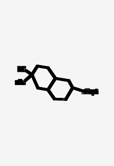 CCCCCCCC1CCC2CC(C#N)(CCCC)CCC2C1